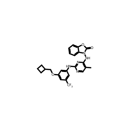 Cc1cnc(Nc2cc(OCC3CCC3)cc(C(F)(F)F)c2)nc1Nn1c(=O)oc2ccccc21